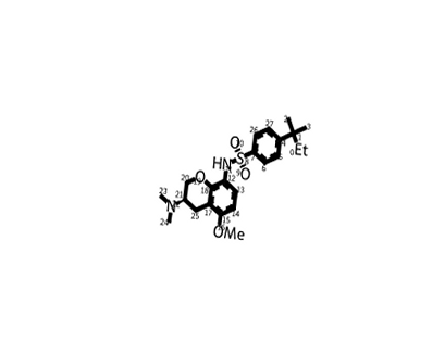 CCC(C)(C)c1ccc(S(=O)(=O)Nc2ccc(OC)c3c2OC[C@H](N(C)C)C3)cc1